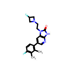 Cc1c(F)ccc(-c2cnc3[nH]c(=O)n(CCN4CC(F)C4)c3c2)c1C